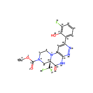 CC(C)(C)OC(=O)N1CCN2c3cc(-c4cccc(F)c4O)nnc3NC(=O)[C@]2(C(F)F)C1